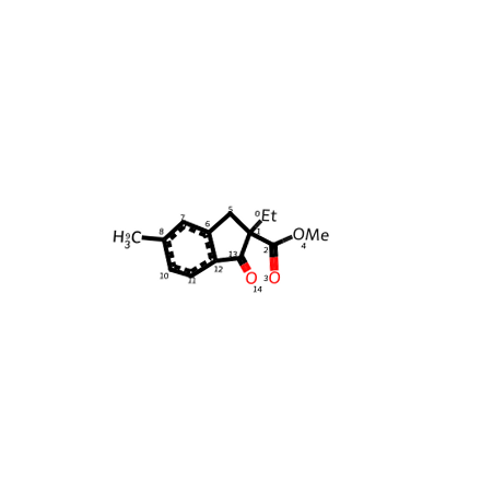 CCC1(C(=O)OC)Cc2cc(C)ccc2C1=O